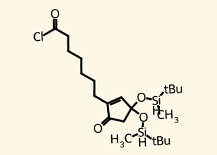 C[SiH](OC1(O[SiH](C)C(C)(C)C)C=C(CCCCCCC(=O)Cl)C(=O)C1)C(C)(C)C